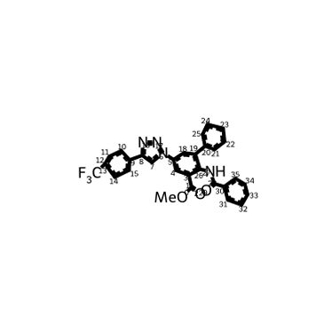 COC(=O)c1cc(-n2cc(-c3ccc(C(F)(F)F)cc3)nn2)cc(-c2ccccc2)c1NC(=O)c1ccccc1